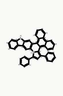 c1ccc(-c2cc(-c3ccccc3)n3c4cc5c(cc4c4c6ccccc6c6ccccc6c4c23)sc2ccccc25)cc1